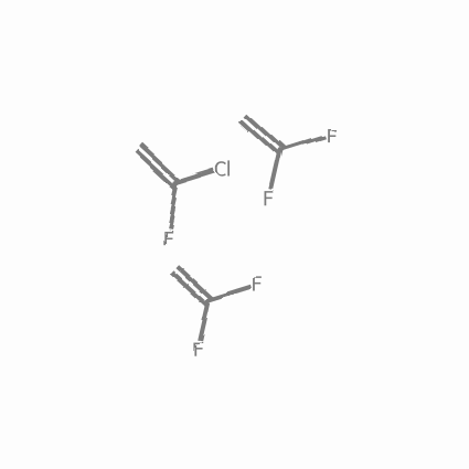 C=C(F)Cl.C=C(F)F.C=C(F)F